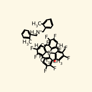 Cc1c(F)c(F)cc(F)c1[B-](c1c(F)cc(F)c(F)c1C)(c1c(F)cc(F)c(F)c1C)c1c(F)cc(F)c(F)c1C.Cc1ccccc1C[NH2+]Cc1ccccc1C